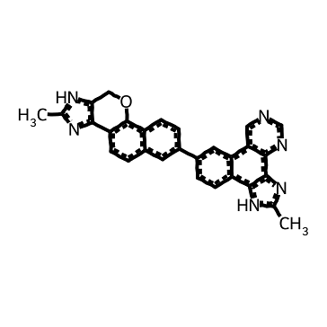 Cc1nc2c([nH]1)COc1c-2ccc2cc(-c3ccc4c(c3)c3cncnc3c3nc(C)[nH]c43)ccc12